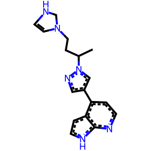 CC(CCN1C=CNC1)n1cc(-c2ccnc3[nH]ccc23)cn1